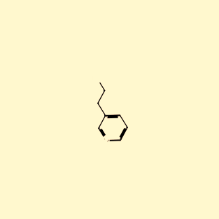 OCCc1c[c]cnc1